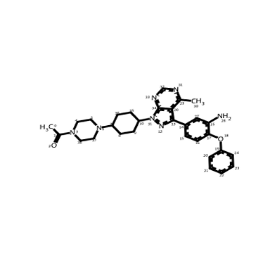 CC(=O)N1CCN(C2CCC(n3nc(-c4ccc(Oc5ccccc5)c(N)c4)c4c(C)ncnc43)CC2)CC1